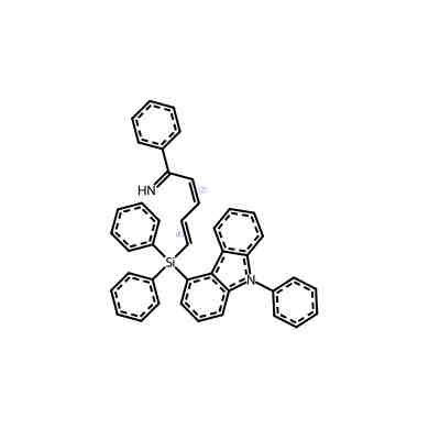 N=C(/C=C\C=C\[Si](c1ccccc1)(c1ccccc1)c1cccc2c1c1ccccc1n2-c1ccccc1)c1ccccc1